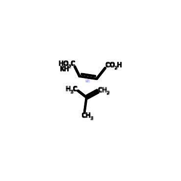 C=C(C)C.O=C(O)/C=C\C(=O)O.[KH]